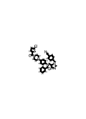 N#Cc1ccc(Cn2cncc2CN(C(=O)c2ccccc2)c2ccc(N3CCN(C(=O)c4ccc(Cl)s4)CC3)cc2)cc1